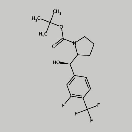 CC(C)(C)OC(=O)N1CCCC1[C@H](O)c1ccc(C(F)(F)F)c(F)c1